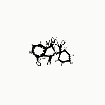 COC(=O)C1(N2C(=O)c3cccc(Cl)c3C2=O)CCCCC1